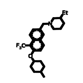 CCC1CCCN(Cc2ccc3c(C(F)(F)F)c(OC4CCC(C)CC4)ccc3c2)C1